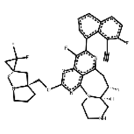 C#Cc1c(F)ccc2cccc(-c3nc4c5c(nc(OC[C@@]67CCCN6C[C@@]6(CC6(F)F)C7)nc5c3F)N3CCNC[C@@H]3[C@@H](C)C4)c12